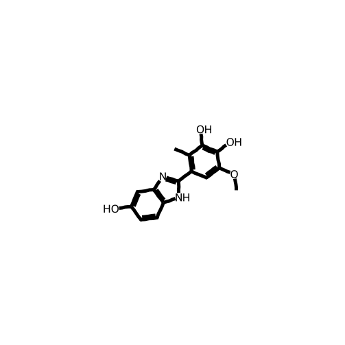 COc1cc(-c2nc3cc(O)ccc3[nH]2)c(C)c(O)c1O